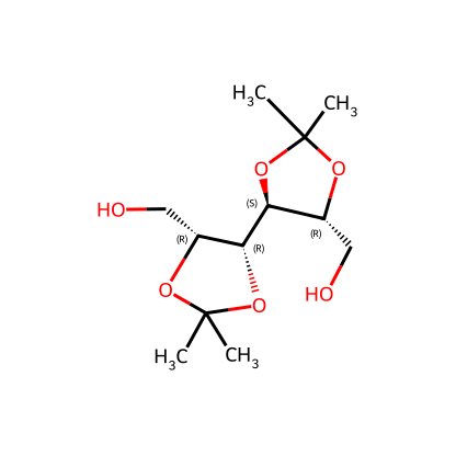 CC1(C)O[C@H]([C@@H]2OC(C)(C)O[C@@H]2CO)[C@@H](CO)O1